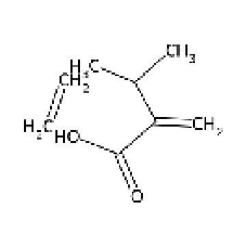 C=C.C=C(C(=O)O)C(C)C